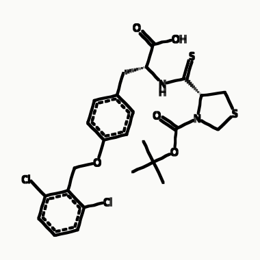 CC(C)(C)OC(=O)N1CSC[C@H]1C(=S)N[C@H](Cc1ccc(OCc2c(Cl)cccc2Cl)cc1)C(=O)O